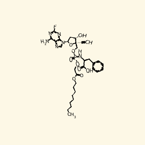 C#C[C@]1(COP(=O)(NC(Cc2ccccc2)C(=O)O)OCC(=O)OCCCCCCCCC)O[C@@H](n2cnc3c(N)nc(F)nc32)C[C@@H]1O